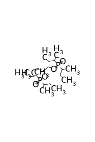 CCC(COP(=O)(C(C)CC)C(C)CC)OP(=O)(C(C)CC)C(C)CC